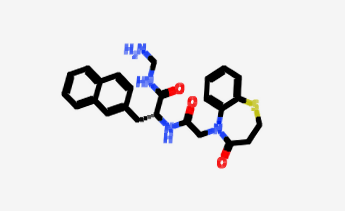 NCNC(=O)[C@@H](Cc1ccc2ccccc2c1)NC(=O)CN1C(=O)CCSc2ccccc21